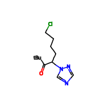 CC(C)(C)C(=O)C(CCCCCl)n1cncn1